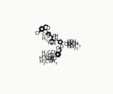 Cc1sc(C(=O)c2cncnc2N[C@@H]2C[C@H](CO[Si](C)(C)C(C)(C)C)[C@@H](OC(=O)Cc3ccc(OP(=O)(OC(C)(C)C)OC(C)(C)C)cc3)C2)cc1[C@@H]1OCCc2ccc(Cl)cc21